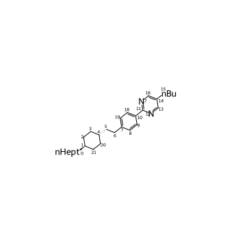 CCCCCCC[C@H]1CC[C@H](CCc2ccc(-c3ncc(CCCC)cn3)cc2)CC1